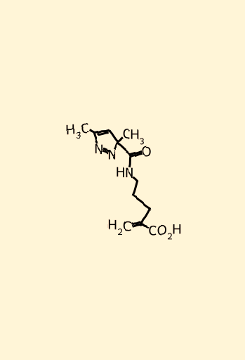 C=C(CCCNC(=O)C1(C)C=C(C)N=N1)C(=O)O